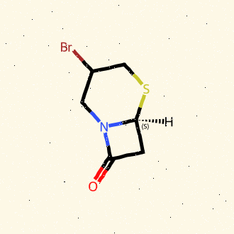 O=C1C[C@@H]2SCC(Br)CN12